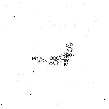 CC(C)CN(CCC(Cc1ccc(OCCCOS(=O)(=O)O)cc1)N(O)C(=O)[O-])S(=O)(=O)c1ccc2c(c1)OCO2.[K+]